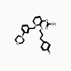 O=C(O)OC1=C(SCCCc2ccc(F)cc2)N(Cc2cccc(N3CCOCC3)c2)CC=C1